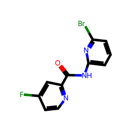 O=C(Nc1cccc(Br)n1)c1cc(F)ccn1